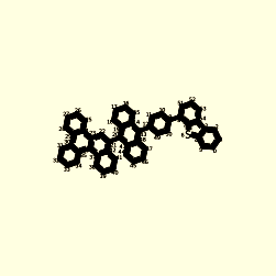 c1ccc2c(c1)sc1c(-c3ccc(-c4c5ccccc5c(-c5cc6c7ccccc7c7ccccc7c6c6ccccc56)c5ccccc45)cc3)cccc12